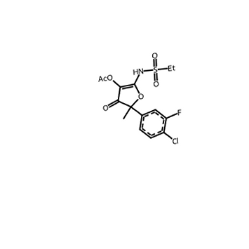 CCS(=O)(=O)NC1=C(OC(C)=O)C(=O)C(C)(c2ccc(Cl)c(F)c2)O1